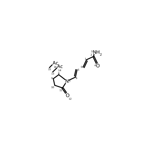 C=CC(N)=O.C=CN1CCCC1=O.CC(C)=O.CC(C)=O